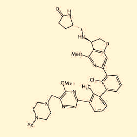 COc1nc(-c2cccc(-c3cccc(-c4cc5c(c(OC)n4)[C@@H](NC[C@@H]4CCC(=O)N4)CO5)c3Cl)c2C)cnc1CN1CCN(C(C)=O)CC1